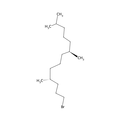 CC(C)CCC[C@@H](C)CCC[C@@H](C)CCCBr